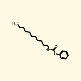 CCCCCCCCCCCNC(=O)Oc1ccccc1